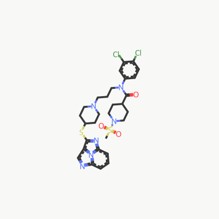 CS(=O)(=O)N1CCC(C(=O)N(CCCN2CCC(Sc3nc4cccc5ncc3n54)CC2)c2ccc(Cl)c(Cl)c2)CC1